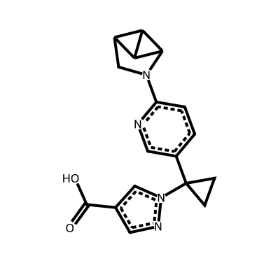 O=C(O)c1cnn(C2(c3ccc(N4CC5C6C5C64)nc3)CC2)c1